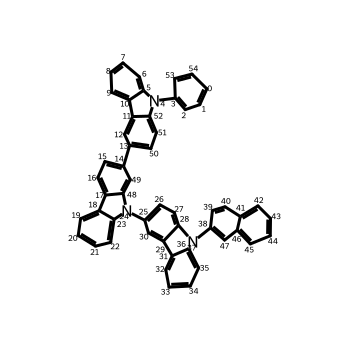 c1ccc(-n2c3ccccc3c3cc(-c4ccc5c6ccccc6n(-c6ccc7c(c6)c6ccccc6n7-c6ccc7ccccc7c6)c5c4)ccc32)cc1